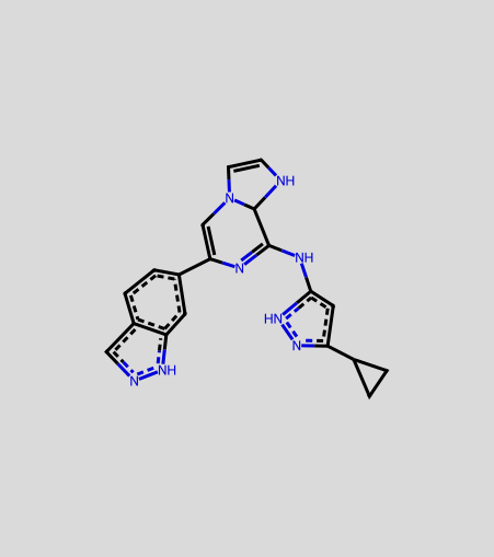 C1=CN2C=C(c3ccc4cn[nH]c4c3)N=C(Nc3cc(C4CC4)n[nH]3)C2N1